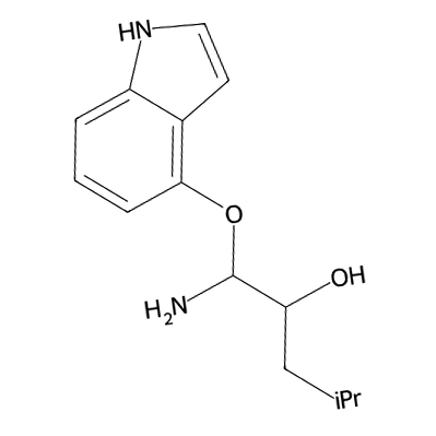 CC(C)CC(O)C(N)Oc1cccc2[nH]ccc12